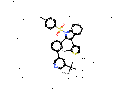 Cc1ccc(S(=O)(=O)n2c(-c3cccc(-c4cncc(C(C)(C)C(=O)O)c4)c3)c(-c3ccsc3C#N)c3ccccc32)cc1